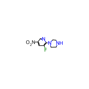 O=[N+]([O-])c1cnc(N2CCNCC2)c(F)c1